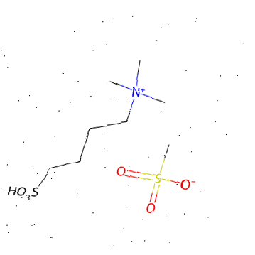 CS(=O)(=O)[O-].C[N+](C)(C)CCCCS(=O)(=O)O